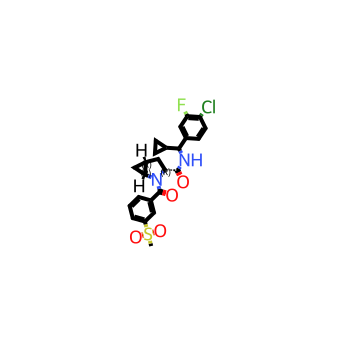 CS(=O)(=O)c1cccc(C(=O)N2[C@@H](C(=O)NC(c3ccc(Cl)c(F)c3)C3CC3)C[C@H]3C[C@H]32)c1